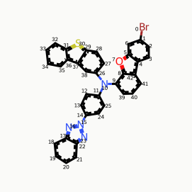 Brc1ccc2c(c1)oc1c(N(c3ccc(-n4nc5ccccc5n4)cc3)c3ccc4sc5ccccc5c4c3)cccc12